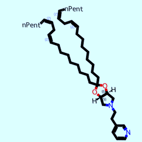 CCCCC/C=C\C/C=C\CCCCCCCCC1(CCCCCCCC/C=C\C/C=C\CCCCC)O[C@H]2CN(CCc3cccnc3)C[C@@H]2O1